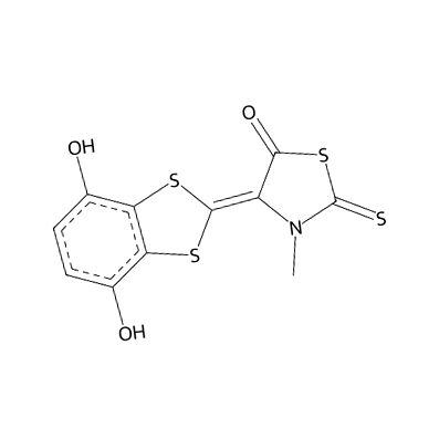 CN1C(=S)SC(=O)C1=C1Sc2c(O)ccc(O)c2S1